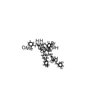 COc1ccccc1CNC(=O)NC(Cc1cc(Br)c(O)c(Br)c1)C(=O)N[C@@H](CCCCNC(=O)OCc1ccccc1)C(=O)N1CCN(c2ccncc2)CC1